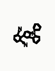 N#Cc1cccc(C#N)c1-c1ccc2c(c1)c1ccccc1n2-c1ccccc1